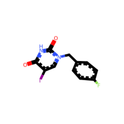 O=c1[nH]c(=O)n(Cc2ccc(F)cc2)cc1I